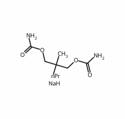 CCCC(C)(COC(N)=O)COC(N)=O.[NaH]